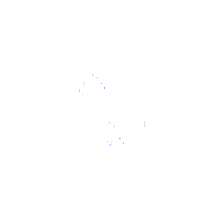 Cc1nc(-c2ccc3nnc(S)n3c2)n[nH]1